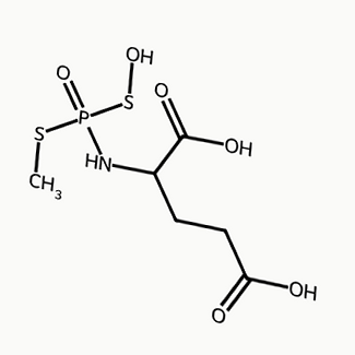 CSP(=O)(NC(CCC(=O)O)C(=O)O)SO